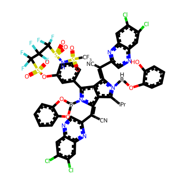 CC(C)c1c2/c(=C(\C#N)c3cnc4cc(Cl)c(Cl)cc4n3)n(B3Oc4ccccc4O3)c(-c3cccc(OS(=O)(=O)C(F)(F)C(F)(F)C(F)(F)S(=O)(=O)NS(=O)(=O)C(F)(F)F)c3)c2/c(=C(\C#N)c2cnc3cc(Cl)c(Cl)cc3n2)n1BOc1ccccc1O